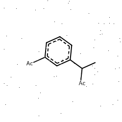 CC(=O)c1cccc(C(C)C(C)=O)c1